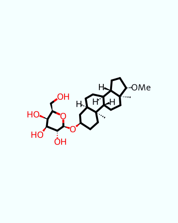 CO[C@H]1CC[C@H]2[C@@H]3CC[C@@H]4C[C@H](O[C@@H]5O[C@H](CO)[C@H](O)[C@H](O)[C@H]5O)CC[C@]4(C)[C@H]3CC[C@]12C